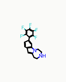 Fc1c(F)c(F)c(-c2ccc3cc4n(c3c2)CCNCC4)c(F)c1F